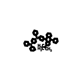 CC(C)(C)c1ccc2c(-c3ccccc3)c3ccccc3c(-c3ccc(N(c4ccccc4)c4ccc(N(c5ccccc5)c5ccccc5)cc4)cc3)c2c1